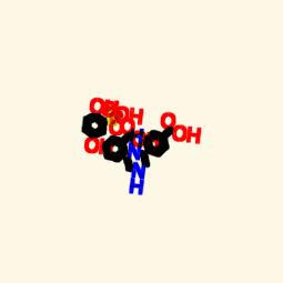 C1CNCCN1.O=C(O)c1ccccc1.O=C(O)c1ccccc1.O=S(=O)(O)c1cc(O)ccc1O